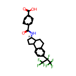 O=C(O)c1ccc(C(=O)N[C@@H]2CCC3c4ccc(C(F)(C(F)(F)F)C(F)(F)F)cc4CCC32)cc1